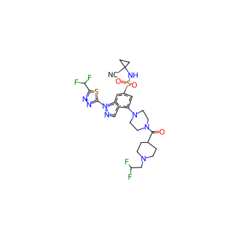 N#CC1(NS(=O)(=O)c2cc(N3CCN(C(=O)C4CCN(CC(F)F)CC4)CC3)c3cnn(-c4nnc(C(F)F)s4)c3c2)CC1